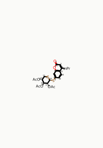 CCCc1cc(=O)oc2cc(S[C@@H]3SC[C@@H](OC(C)=O)[C@H](OC(C)=O)[C@H]3OC(C)=O)ccc12